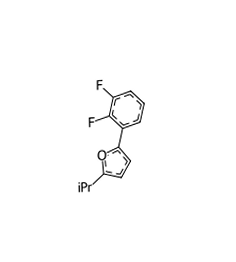 CC(C)c1ccc(-c2cccc(F)c2F)o1